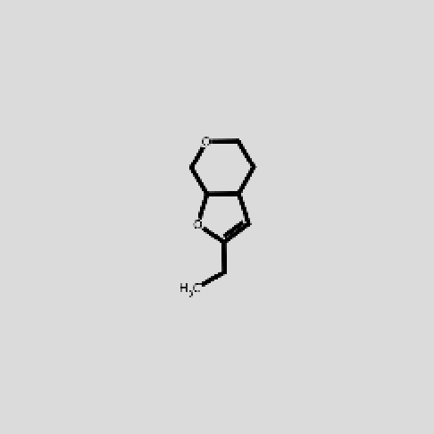 CCC1=CC2CCOCC2O1